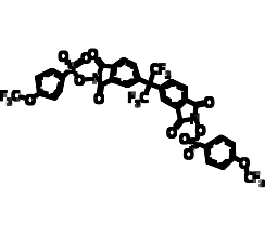 O=C1c2ccc(C(c3ccc4c(c3)C(=O)N(OS(=O)(=O)c3ccc(OC(F)(F)F)cc3)C4=O)(C(F)(F)F)C(F)(F)F)cc2C(=O)N1OS(=O)(=O)c1ccc(OC(F)(F)F)cc1